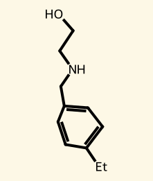 CCc1ccc(CNCCO)cc1